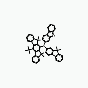 CC(C)(C)c1c2c(c(N(c3ccc4c(c3)C(C)(C)c3ccccc3-4)c3ccc4c(c3)oc3ccccc34)c3c1-c1ccccc1C3(C)C)C(C)(C)c1ccccc1-2